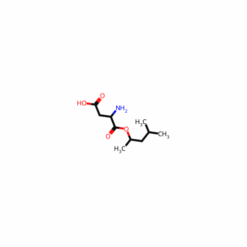 CC(C)CC(C)OC(=O)C(N)CC(=O)O